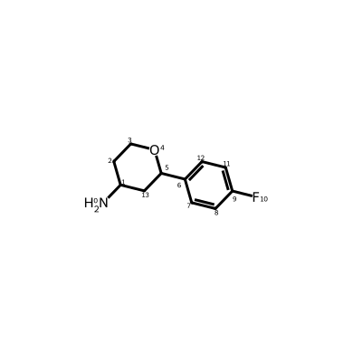 NC1CCOC(c2ccc(F)cc2)C1